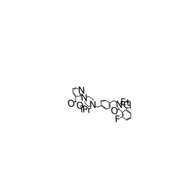 CCN(Cc1ccc(CN2CCN(c3ncccc3C(=O)OC(C)C)CC2)cc1)C(=O)c1c(F)cccc1Cl